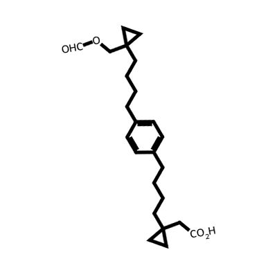 O=COCC1(CCCCc2ccc(CCCCC3(CC(=O)O)CC3)cc2)CC1